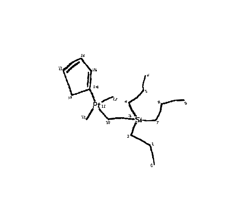 CCC[Si](CCC)(CCC)[CH2][Pt]([CH3])([CH3])[C]1=CC=CC1